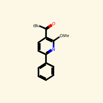 COc1nc(-c2ccccc2)ccc1C(=O)C(C)(C)C